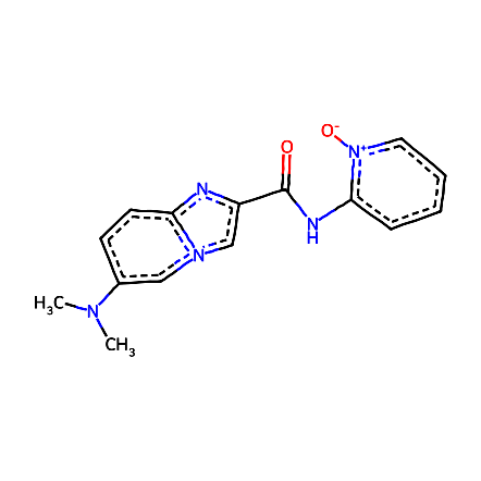 CN(C)c1ccc2nc(C(=O)Nc3cccc[n+]3[O-])cn2c1